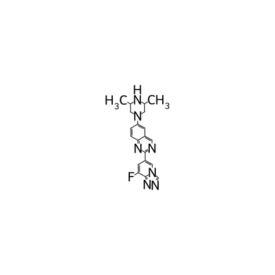 CC1CN(c2ccc3nc(-c4cc(F)c5nncn5c4)ncc3c2)CC(C)N1